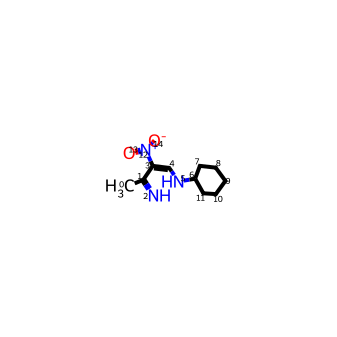 CC(=N)/C(=C\NC1CCCCC1)[N+](=O)[O-]